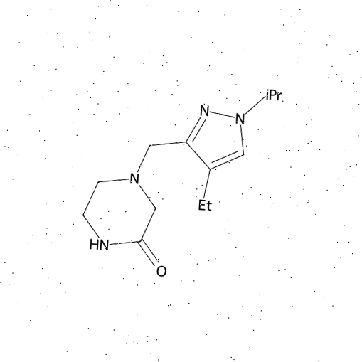 CCc1cn(C(C)C)nc1CN1CCNC(=O)C1